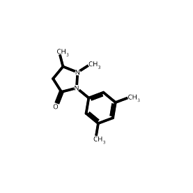 Cc1cc(C)cc(N2C(=O)CC(C)N2C)c1